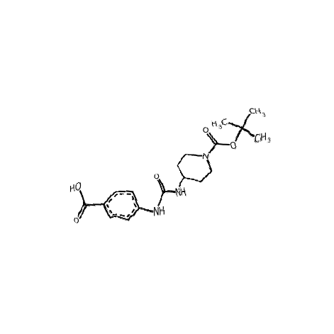 CC(C)(C)OC(=O)N1CCC(NC(=O)Nc2ccc(C(=O)O)cc2)CC1